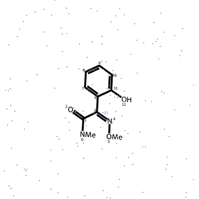 CNC(=O)/C(=N\OC)c1ccccc1O